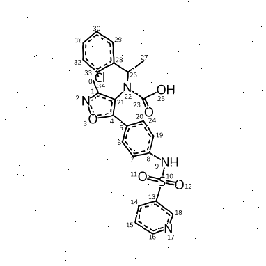 Cc1noc(-c2ccc(NS(=O)(=O)c3cccnc3)cc2)c1N(C(=O)O)C(C)c1ccccc1Cl